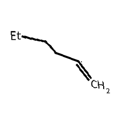 C=[C]CCCC